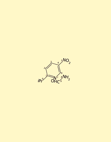 CC(C)c1ccc([N+](=O)[O-])cn1.NC=O